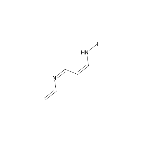 C=C/N=C\C=C/NI